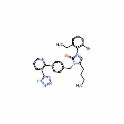 CCCCc1cn(-c2c(Br)cccc2CC)c(=O)n1Cc1ccc(-c2ncccc2-c2nnn[nH]2)cc1